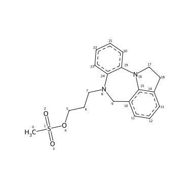 CS(=O)(=O)OCCCN1Cc2cccc3c2N(CC3)c2ccccc21